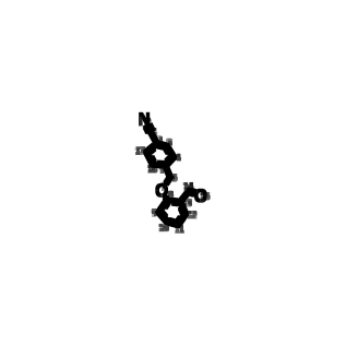 N#Cc1ccc(COc2ccccc2C=O)cc1